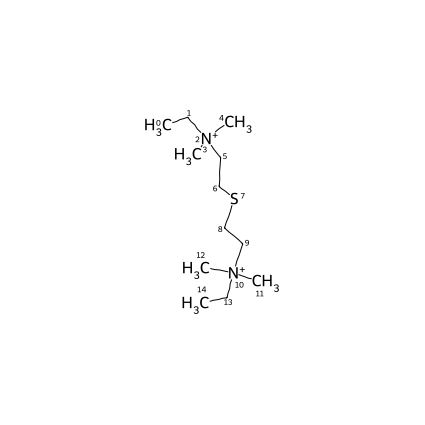 CC[N+](C)(C)CCSCC[N+](C)(C)CC